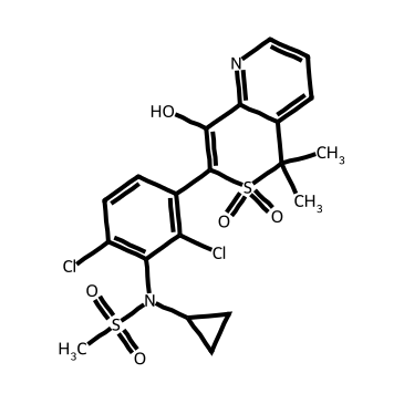 CC1(C)c2cccnc2C(O)=C(c2ccc(Cl)c(N(C3CC3)S(C)(=O)=O)c2Cl)S1(=O)=O